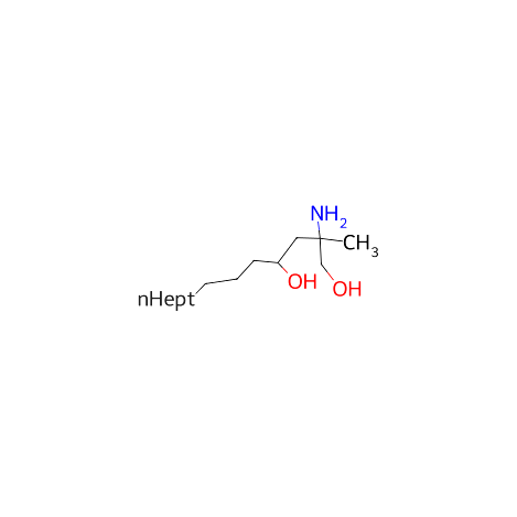 CCCCCCCCCCC(O)CC(C)(N)CO